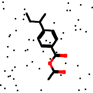 CCC(C)c1ccc(C(=O)OC(C)=O)cc1